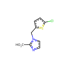 O=C(O)c1nccn1Cc1ccc(Cl)s1